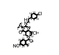 CN(C)n1c(NCCc2ccc(Cl)cc2)nc2c(c1=O)CN(C(=O)c1ccc(C#N)cc1F)CC2.Cl